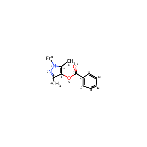 CCn1nc(C)c(OC(=O)c2ccccc2)c1C